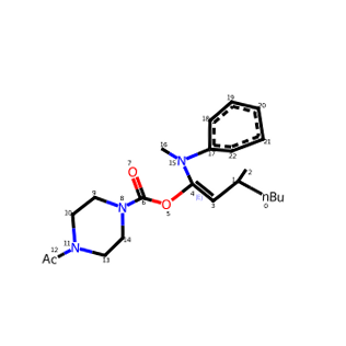 CCCCC(C)/C=C(/OC(=O)N1CCN(C(C)=O)CC1)N(C)c1ccccc1